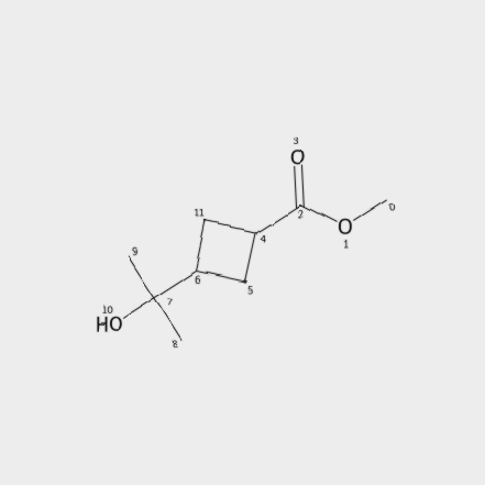 COC(=O)C1CC(C(C)(C)O)C1